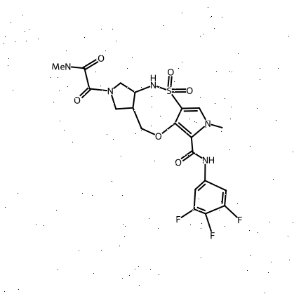 CNC(=O)C(=O)N1CC2COc3c(cn(C)c3C(=O)Nc3cc(F)c(F)c(F)c3)S(=O)(=O)NC2C1